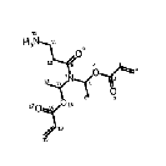 C=CC(=O)OC(C)N(C(=O)CCN)C(C)OC(=O)C=C